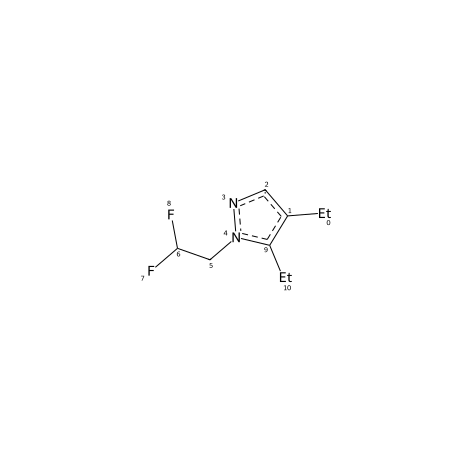 CCc1[c]nn(CC(F)F)c1CC